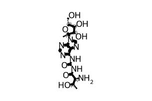 C[C@@H](O)[C@H](N)C(=O)NC(=O)Nc1ncnc2c1ncn2[C@]1(C)O[C@H](CO)[C@@H](O)[C@H]1O